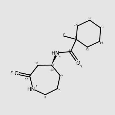 CC1(C(=O)N[C@H]2CCCNC(=O)C2)CCCCC1